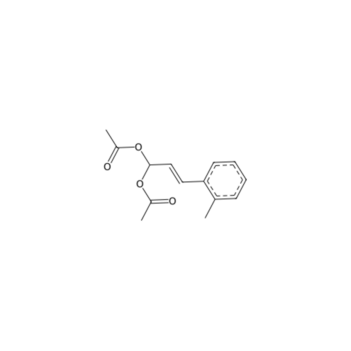 CC(=O)OC(C=Cc1ccccc1C)OC(C)=O